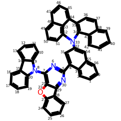 c1ccc2c(-c3nc(-n4c5ccccc5c5ccccc54)c4oc5ccccc5c4n3)cc(N3c4c(ccc5ccccc45)-c4cccc5cccc3c45)cc2c1